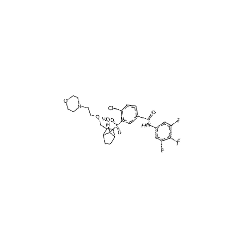 O=C(Nc1cc(F)c(F)c(F)c1)c1ccc(Cl)c(S(=O)(=O)[C@@H]2C3CCC2[C@@](O)(COCCN2CCOCC2)C3)c1